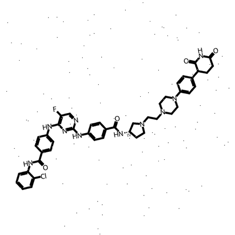 O=C1CCC(c2ccc(N3CCN(CCN4CC[C@H](NC(=O)c5ccc(Nc6ncc(F)c(Nc7ccc(C(=O)Nc8ccccc8Cl)cc7)n6)cc5)C4)CC3)cc2)C(=O)N1